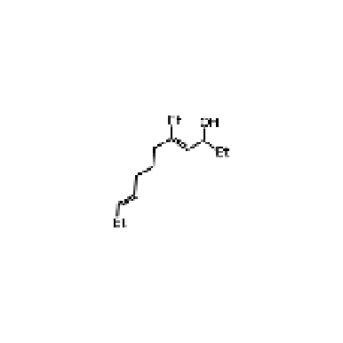 CCC=CCCCC(=CC(O)CC)CC